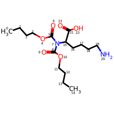 CCCCOC(=O)N(C(=O)OCCCC)C(CCCCN)C(=O)O